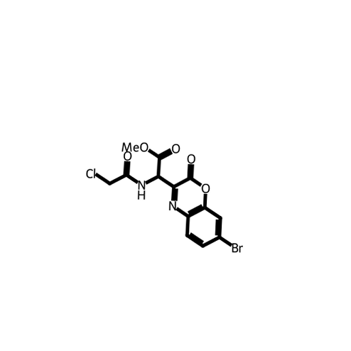 COC(=O)C(NC(=O)CCl)c1nc2ccc(Br)cc2oc1=O